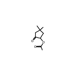 CC(=O)OC1CC(C)(C)CC1=O